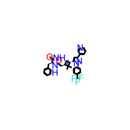 CC1(C)[C@@H](CC(=O)N[C@@H](Cc2ccccc2)C(N)=O)C[C@@H]1c1cc(-c2cccnc2)nn1-c1ccc(C(F)(F)F)cc1